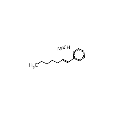 C#N.CCCCCC=Cc1ccccc1